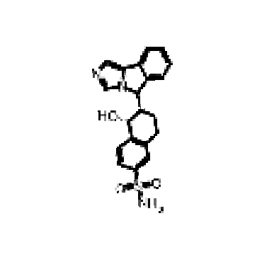 NS(=O)(=O)c1ccc2c(c1)CC[C@H](C1c3ccccc3-c3cncn31)[C@H]2O